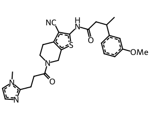 COc1cccc(C(C)CC(=O)Nc2sc3c(c2C#N)CCN(C(=O)CCc2nccn2C)C3)c1